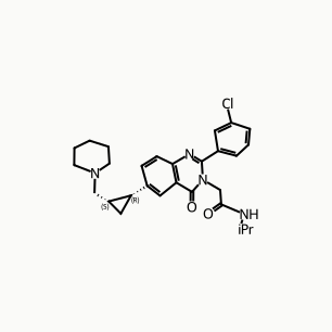 CC(C)NC(=O)Cn1c(-c2cccc(Cl)c2)nc2ccc([C@@H]3C[C@@H]3CN3CCCCC3)cc2c1=O